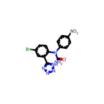 NC(=O)N(c1ccc([N+](=O)[O-])cc1)c1ccc(Br)cc1-c1nnn[nH]1